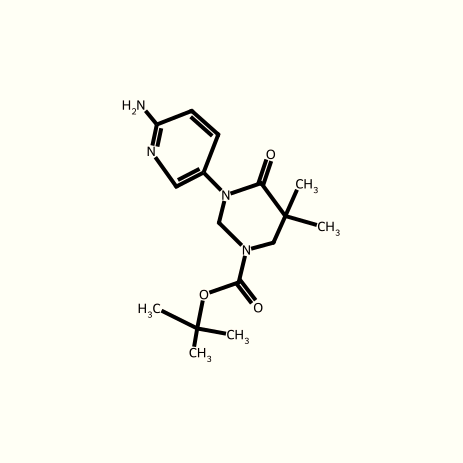 CC(C)(C)OC(=O)N1CN(c2ccc(N)nc2)C(=O)C(C)(C)C1